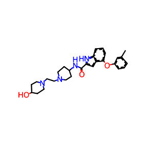 Cc1cccc(Oc2cccc3[nH]c(C(=O)NC4CCN(CCN5CCC(O)CC5)CC4)cc23)c1